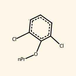 CCCOc1c(Cl)[c]ccc1Cl